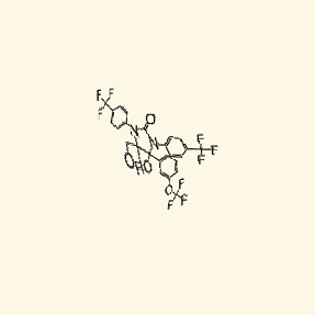 O=C1N(c2ccc(C(F)(F)F)cc2)C2(COC2)C(O)(c2cccc(OC(F)(F)F)c2)N1c1ccc(C(F)(F)F)cc1